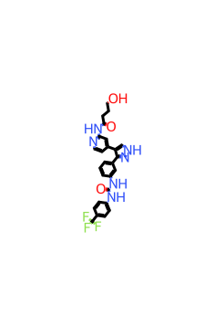 O=C(CCCO)Nc1cc(-c2c[nH]nc2-c2cccc(NC(=O)Nc3ccc(C(F)(F)F)cc3)c2)ccn1